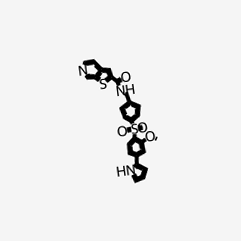 COc1cc(-c2ccc[nH]2)ccc1S(=O)(=O)c1ccc(CNC(=O)c2cc3ccncc3s2)cc1